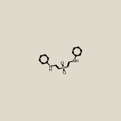 O=S(=O)(C=CNc1ccccc1)C=CNc1ccccc1